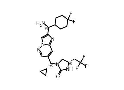 N[C@H](c1cn2ncc([C@@H](C3CC3)N3C[C@H](CC(F)(F)F)NC3=O)cc2n1)C1CCC(F)(F)CC1